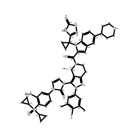 CNc1cc(-n2ccn(-c3c4c(nn3-c3cc(C)c(F)c(C)c3)CCN(C(=O)c3cc5cc(C6CCOCC6)ccc5n3C3(c5noc(=O)[nH]5)CC3)[C@H]4C)c2=O)ccc1P(=O)(C1CC1)C1CC1